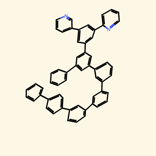 c1ccc(-c2ccc(-c3cccc(-c4cccc(-c5cccc(-c6cc(-c7ccccc7)cc(-c7cc(-c8cccnc8)cc(-c8ccccn8)c7)c6)c5)c4)c3)cc2)cc1